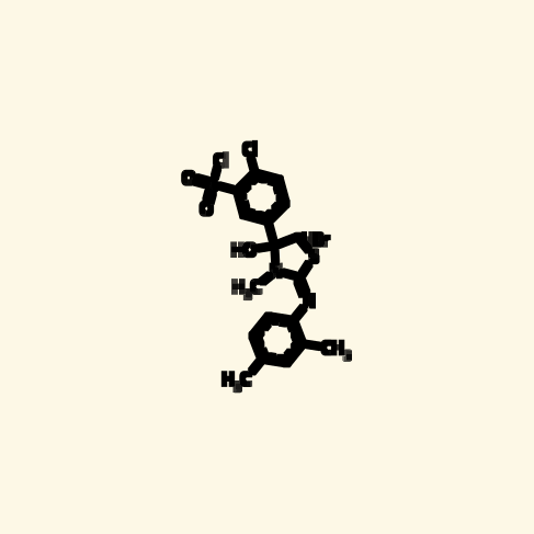 Br.Cc1ccc(/N=C2/SCC(O)(c3ccc(Cl)c(S(=O)(=O)Cl)c3)N2C)c(C)c1